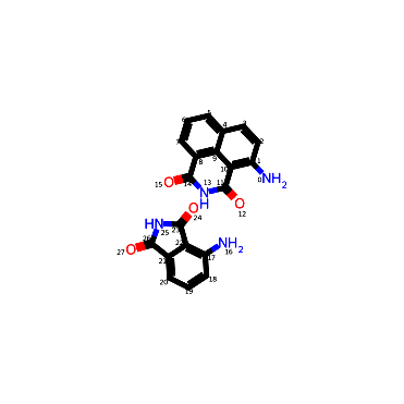 Nc1ccc2cccc3c2c1C(=O)NC3=O.Nc1cccc2c1C(=O)NC2=O